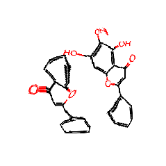 O=c1cc(-c2ccccc2)oc2cc(O)c(O)c(O)c12.O=c1cc(-c2ccccc2)oc2ccccc12